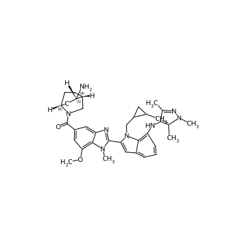 COc1cc(C(=O)N2C[C@H]3CC[C@@H]2C[C@@H]3N)cc2nc(-c3cc4cccc(Nc5c(C)nn(C)c5C)c4n3CC3CC3C)n(C)c12